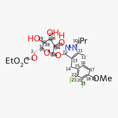 CCOC(=O)OC[C@H]1O[C@@H](Oc2nn(C(C)C)c(C)c2Cc2ccc(OC)c(F)c2F)[C@H](O)[C@@H](O)[C@@H]1O